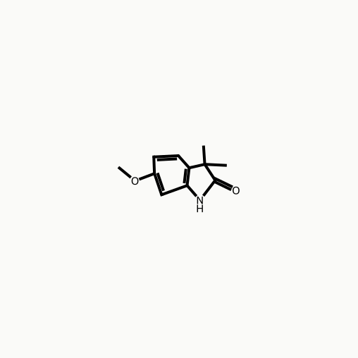 COc1ccc2c(c1)NC(=O)C2(C)C